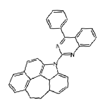 C1=CC2CCc3cccc4ccc5c(c34)C2C(=C1)N5c1nc(-c2ccccc2)c2ccccc2n1